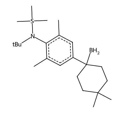 BC1(c2cc(C)c(N(C(C)(C)C)S(C)(C)C)c(C)c2)CCC(C)(C)CC1